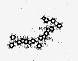 CC1(C)c2cc(N(c3ccccc3)c3ccccc3)ccc2-c2cc3c(cc21)-c1ccc(N(c2ccccc2)c2ccc4c(c2)C(C)(C)c2cc5c(cc2-4)C(C)(C)c2cc(N(c4ccccc4)c4cccc(-c6ccc7c(c6)CC7)c4)ccc2-5)cc1C3(C)C